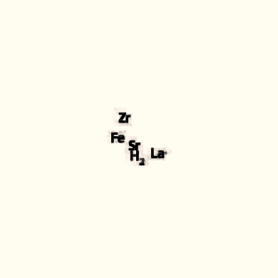 [Fe].[La].[SrH2].[Zr]